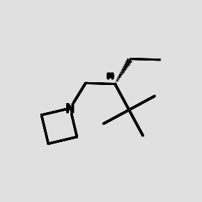 CC[C@@H](CN1CCC1)C(C)(C)C